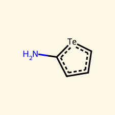 Nc1ccc[te]1